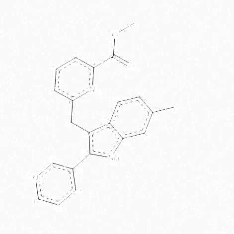 COC(=O)c1cccc(Cc2c(-c3cccnc3)[nH]c3cc(C)ccc23)n1